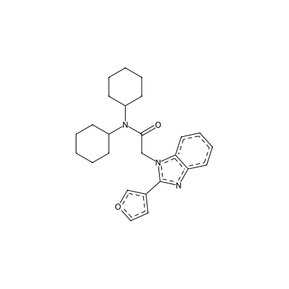 O=C(Cn1c(-c2ccoc2)nc2ccccc21)N(C1CCCCC1)C1CCCCC1